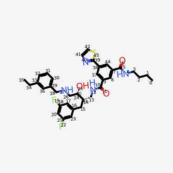 CCCCNC(=O)c1cc(C(=O)NC[C@H](Cc2cc(F)cc(F)c2)[C@@H](O)CNCc2cccc(CC)c2)cc(-c2nccs2)c1